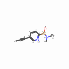 CC#Cc1ccc([S+]([O-])N(C)CC)nc1